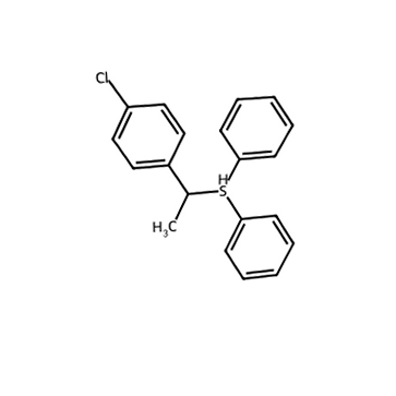 CC(c1ccc(Cl)cc1)[SH](c1ccccc1)c1ccccc1